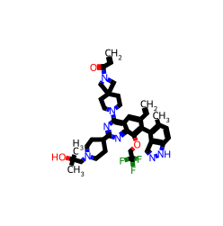 C=CC(=O)N1CC2(CCN(c3nc(C4CCN(CC(C)(C)O)CC4)nc4c(OCC(F)(F)F)c(-c5c(C)ccc6[nH]ncc56)c(C=C)cc34)CC2)C1